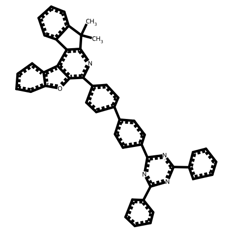 CC1(C)c2ccccc2-c2c1nc(-c1ccc(-c3ccc(-c4nc(-c5ccccc5)nc(-c5ccccc5)n4)cc3)cc1)c1oc3ccccc3c21